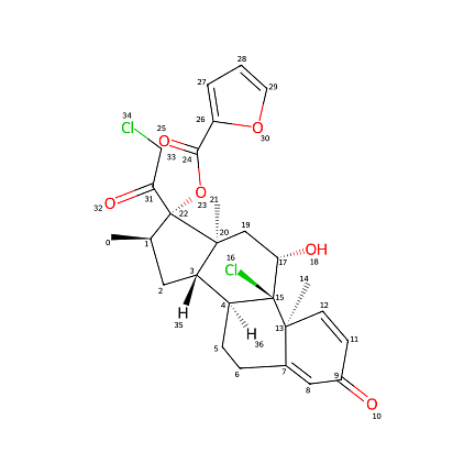 C[C@@H]1C[C@H]2[C@@H]3CCC4=CC(=O)C=C[C@]4(C)[C@@]3(Cl)[C@@H](O)C[C@]2(C)[C@]1(OC(=O)c1ccco1)C(=O)CCl